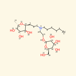 CC(=O)CCCCCN(CCC[C@@H]1O[C@@H](C)[C@@H](O)[C@@H](O)[C@@H]1O)CCOC1O[C@H](CO)[C@@H](O)[C@H](O)[C@H]1O